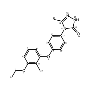 CCOc1cccc(Oc2ccc(-n3c(C)n[nH]c3=O)cc2)c1C